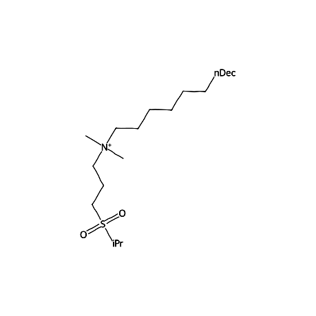 CCCCCCCCCCCCCCCC[N+](C)(C)CCCS(=O)(=O)C(C)C